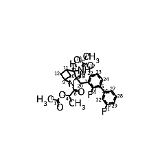 CC(=O)O[C@H](C)C(=O)N1C2CC(C2)[C@H](NS(C)(=O)=O)[C@@H]1Cc1cccc(-c2cccc(F)c2)c1F